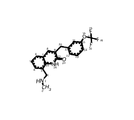 CNCc1cccc2cc(Cc3cccc(OC(F)(F)F)c3)c(=O)[nH]c12